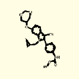 CC(C)OC(=O)Nc1ccc(-c2c(C#N)c3ccc(OC4COCOC4)cc3n2CC2CC2)cc1